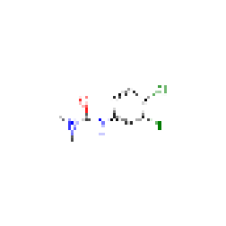 CN(C)C(=O)Nc1ccc(Cl)c(F)c1